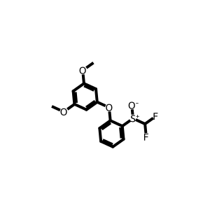 COc1cc(OC)cc(Oc2ccccc2[S+]([O-])C(F)F)c1